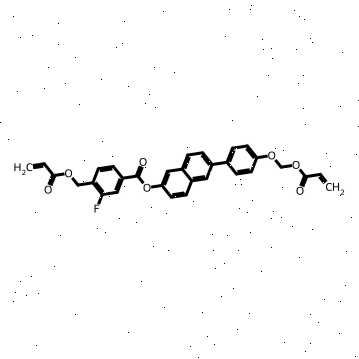 C=CC(=O)OCOc1ccc(-c2ccc3cc(OC(=O)c4ccc(COC(=O)C=C)c(F)c4)ccc3c2)cc1